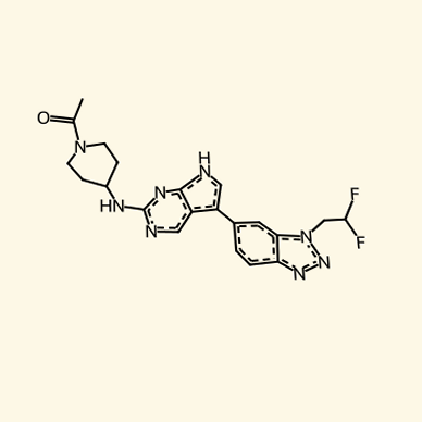 CC(=O)N1CCC(Nc2ncc3c(-c4ccc5nnn(CC(F)F)c5c4)c[nH]c3n2)CC1